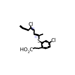 C=C=C/C(Cl)=C\C=C(/C)Sc1cc(Cl)ccc1CCC(=O)O